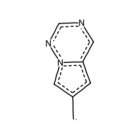 [CH2]c1cc2cncnn2c1